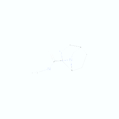 CCCNC(=O)N1CC2CCC1CNC2